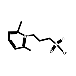 Cc1cccc(C)[n+]1CCCS(=O)(=O)[O-]